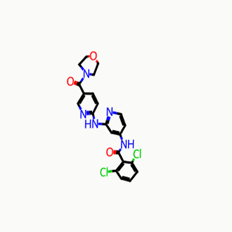 O=C(Nc1ccnc(Nc2ccc(C(=O)N3CCOCC3)cn2)c1)c1c(Cl)cccc1Cl